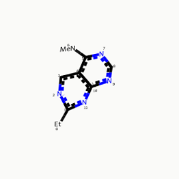 CCc1ncc2c(NC)ncnc2n1